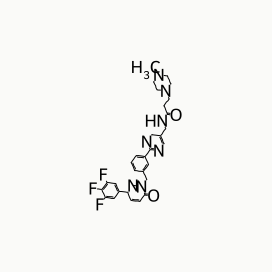 CN1CCN(CCC(=O)NCc2cnc(-c3cccc(Cn4nc(-c5cc(F)c(F)c(F)c5)ccc4=O)c3)nc2)CC1